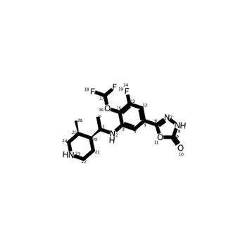 CC(Nc1cc(-c2n[nH]c(=O)o2)cc(F)c1OC(F)F)[C@H]1CCNC[C@H]1C